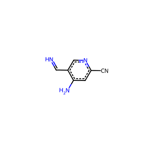 N#Cc1cc(N)c(C=N)cn1